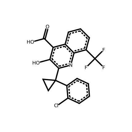 O=C(O)c1c(O)c(C2(c3ccccc3Cl)CC2)nc2c(C(F)(F)F)cccc12